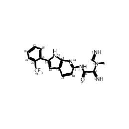 CN(C=N)C(=N)C(=O)Nc1ccc2cc(-c3ccccc3C(F)(F)F)[nH]c2n1